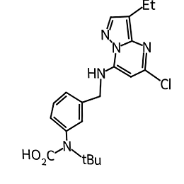 CCc1cnn2c(NCc3cccc(N(C(=O)O)C(C)(C)C)c3)cc(Cl)nc12